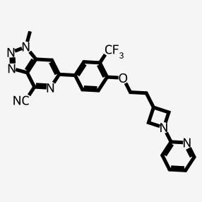 Cn1nnc2c(C#N)nc(-c3ccc(OCCC4CN(c5ccccn5)C4)c(C(F)(F)F)c3)cc21